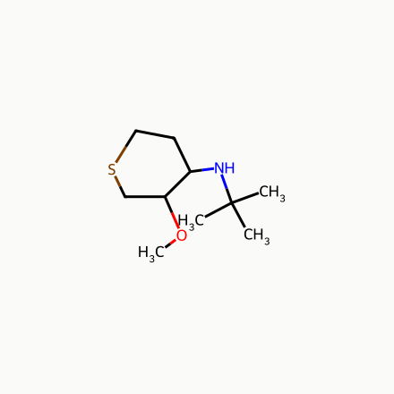 COC1CSCCC1NC(C)(C)C